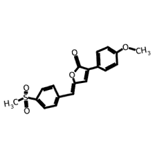 COc1ccc(C2=CC(=Cc3ccc(S(C)(=O)=O)cc3)OC2=O)cc1